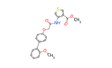 COC(=O)c1cscc1NC(=O)COc1ccc(-c2ccccc2OC)cc1